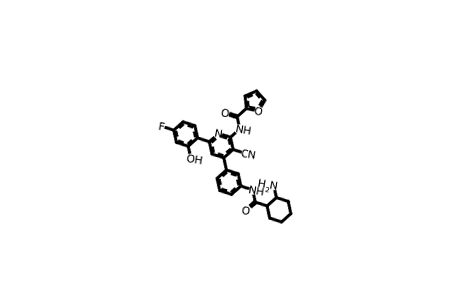 N#Cc1c(-c2cccc(NC(=O)C3CCCCC3N)c2)cc(-c2ccc(F)cc2O)nc1NC(=O)c1ccco1